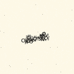 Cc1cccc2nc(SCc3ccc(C(=O)c4ccccc4OC(C)Cl)cc3)n(C)c(=O)c12